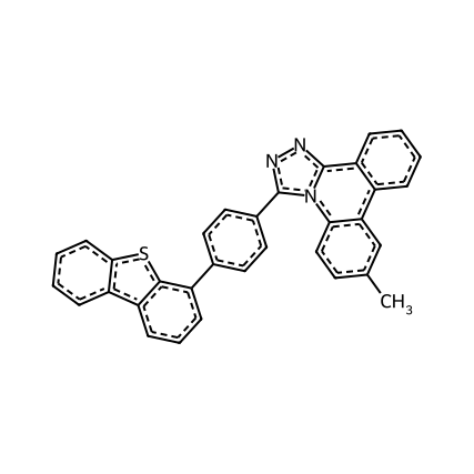 Cc1ccc2c(c1)c1ccccc1c1nnc(-c3ccc(-c4cccc5c4sc4ccccc45)cc3)n21